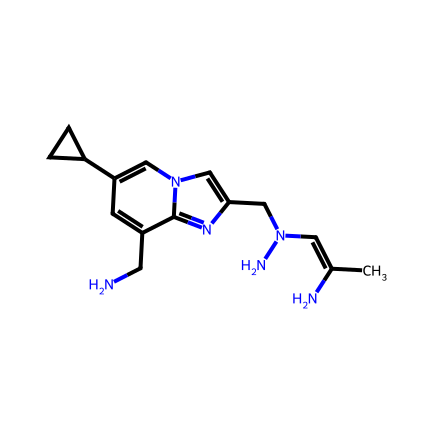 C/C(N)=C/N(N)Cc1cn2cc(C3CC3)cc(CN)c2n1